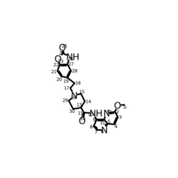 COc1ccc2nccc(NC(=O)C3CCN(CCc4ccc5oc(=O)[nH]c5c4)CC3)c2n1